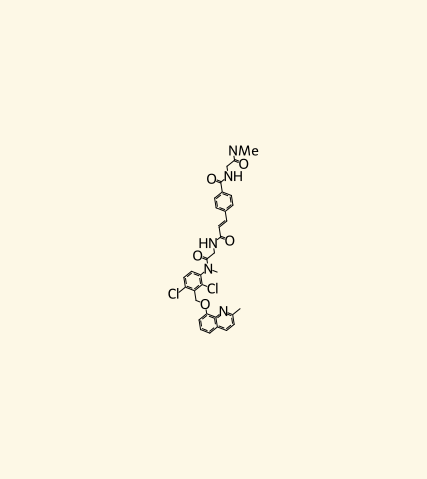 CNC(=O)CNC(=O)c1ccc(C=CC(=O)NCC(=O)N(C)c2ccc(Cl)c(COc3cccc4ccc(C)nc34)c2Cl)cc1